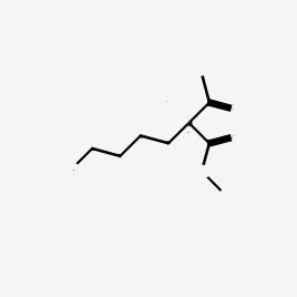 COC(=O)[C@@](N)(CCCCN)C(C)=O.Cl